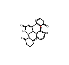 O=C1C=C(C2=[C]C(=O)NN(N3C(=O)CCCC3=O)C2c2ccc[nH]c2=O)N=CC1